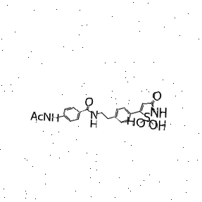 CC(=O)Nc1ccc(C(=O)NCCc2ccc(C3=CC(=O)NS3(O)O)cc2)cc1